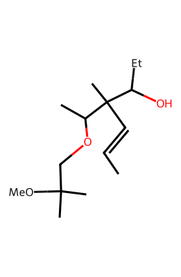 CC=CC(C)(C(O)CC)C(C)OCC(C)(C)OC